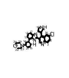 Clc1ccc2ncc(-c3nc4cccc(C5C=C(N6CCOCC6)C=CC5)c4[nH]3)c(C3CCNC3)c2c1